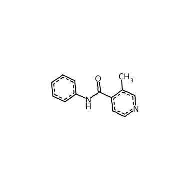 Cc1cnccc1C(=O)Nc1ccccc1